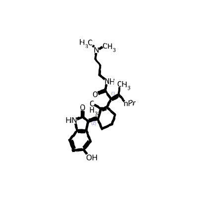 CCC/C(C)=C(/C(=O)NCCCN(C)C)C1=C(C)/C(=C2\C(=O)Nc3ccc(O)cc32)CCC1